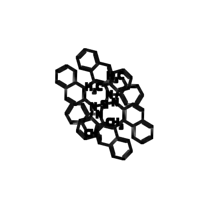 Cc1ccccc1N1c2ccc3ccccc3c2-c2c(ccc3ccccc23)N(c2ccccc2C)[Si]12N(c1ccccc1C)c1ccc3ccccc3c1-c1c(ccc3ccccc13)N2c1ccccc1C